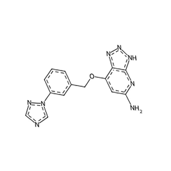 Nc1cc(OCc2cccc(-n3cncn3)c2)c2nn[nH]c2n1